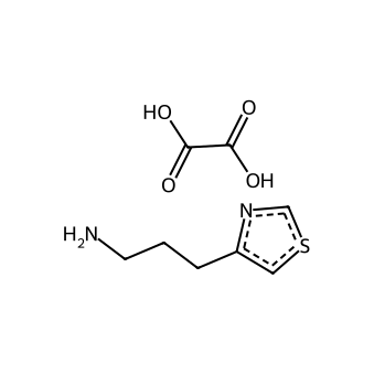 NCCCc1cscn1.O=C(O)C(=O)O